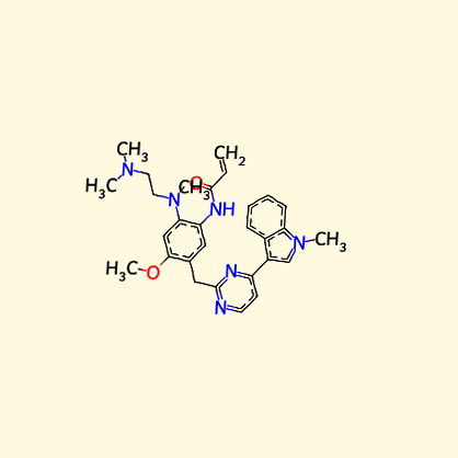 C=CC(=O)Nc1cc(Cc2nccc(-c3cn(C)c4ccccc34)n2)c(OC)cc1N(C)CCN(C)C